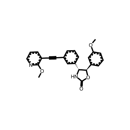 COc1cccc([C@H]2OC(=O)N[C@@H]2c2cccc(C#Cc3cccnc3OC)c2)c1